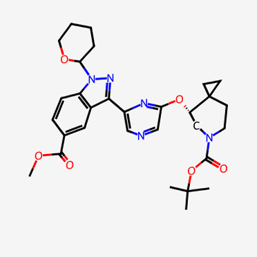 COC(=O)c1ccc2c(c1)c(-c1cncc(O[C@H]3CN(C(=O)OC(C)(C)C)CCC34CC4)n1)nn2C1CCCCO1